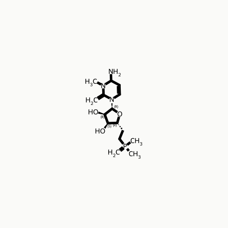 C=C1N(C)C(N)C=CN1[C@@H]1O[C@H](CCP(=C)(C)C)[C@@H](O)[C@H]1O